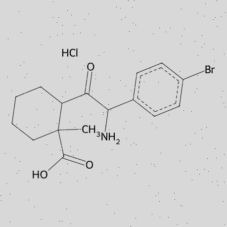 CC1(C(=O)O)CCCCC1C(=O)C(N)c1ccc(Br)cc1.Cl